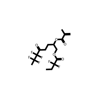 C=C(C)C(=O)OC(CCC(=O)C(F)(F)C(C)(F)F)COC(=O)C(F)(F)CC